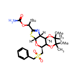 COC1(C)OC2[C@@H](CS(=O)(=O)Cc3ccccc3)O[C@@H]3SC(C(OC(N)=O)C(C)(C)C)=N[C@@H]3[C@H]2OC1(C)OC